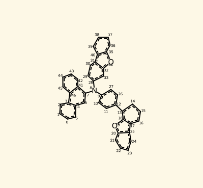 c1ccc2c(c1)cc(N(c1ccc(-c3cccc4c3oc3ccccc34)cc1)c1ccc3c(c1)oc1ccccc13)c1ccccc12